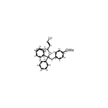 [Li][CH]=CC(CCCCC)OC(Cc1ccc(OC)cc1)(c1ccccc1)c1ccccc1